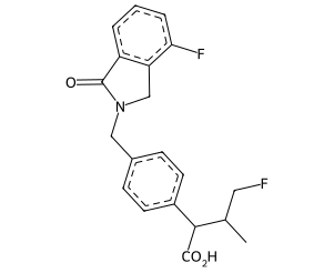 CC(CF)C(C(=O)O)c1ccc(CN2Cc3c(F)cccc3C2=O)cc1